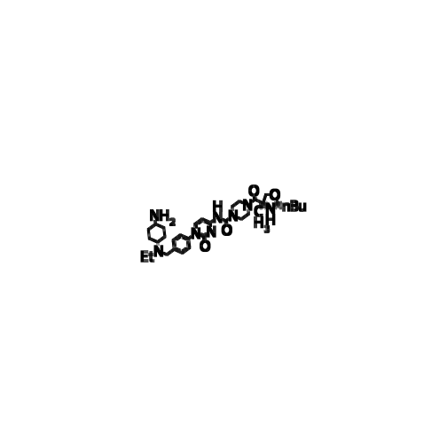 CCCC[C@@H]1N[C@](C)(C(=O)N2CCN(C(=O)Nc3ccn(-c4ccc(CN(CC)[C@H]5CC[C@H](N)CC5)cc4)c(=O)n3)CC2)CO1